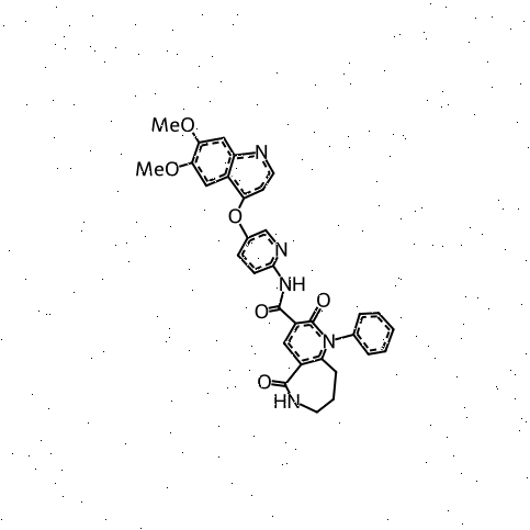 COc1cc2nccc(Oc3ccc(NC(=O)c4cc5c(n(-c6ccccc6)c4=O)CCCNC5=O)nc3)c2cc1OC